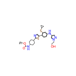 CC(C)OC(=O)NC1CCC(c2ncc(-c3ccc(Nc4cnn(CCO)c4)cc3SC3CC3)s2)CC1